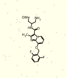 COCC(CN)NC(=O)c1c(C)nc2c(OCc3c(F)cccc3F)cccn12